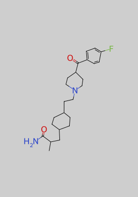 CC(CC1CCC(CCN2CCC(C(=O)c3ccc(F)cc3)CC2)CC1)C(N)=O